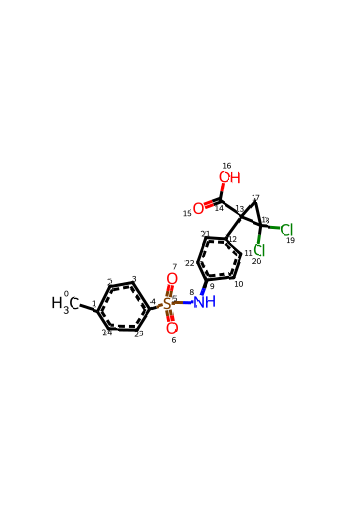 Cc1ccc(S(=O)(=O)Nc2ccc(C3(C(=O)O)CC3(Cl)Cl)cc2)cc1